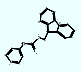 O=C(Nc1ccncc1)OCC1c2ccccc2-c2ccccc21